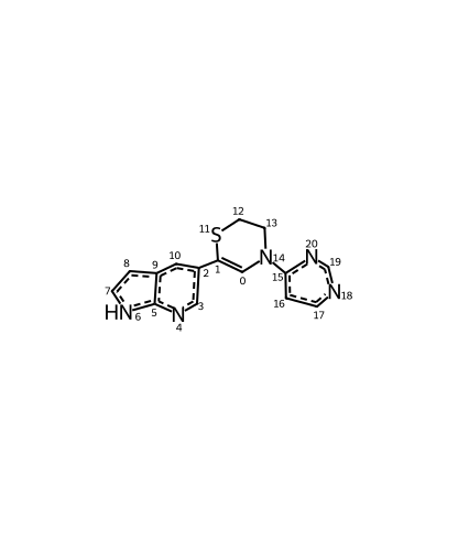 C1=C(c2cnc3[nH]ccc3c2)SCCN1c1ccncn1